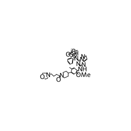 COc1cc(C2CCN(C(=O)CCCN3CCOCC3)CC2)c(C)cc1Nc1nc(Nc2ccccc2S(=O)(=O)C(C)C)n2nccc2n1